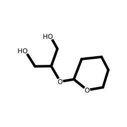 OCC(CO)OC1CCCCO1